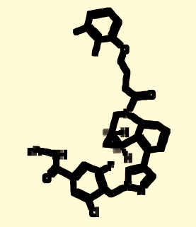 CCCNC(=O)c1cc(F)c(Cn2cc(-c3cccc4c3[C@H]3C[C@H]3CN4C(=O)CCCOc3cccc(C)c3C)cn2)c(Cl)c1